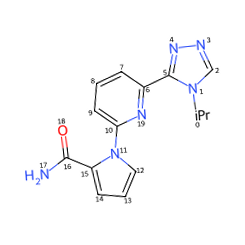 CC(C)n1cnnc1-c1cccc(-n2cccc2C(N)=O)n1